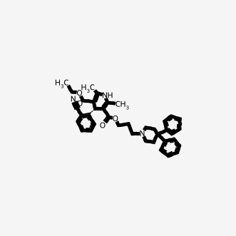 CCOC(=O)C1=C(C)NC(C)=C(C(=O)OCCCN2CCC(c3ccccc3)(c3ccccc3)CC2)[C@@H]1c1ccccc1C#N